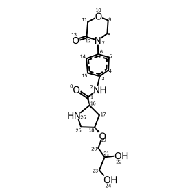 O=C(Nc1ccc(N2CCOCC2=O)cc1)[C@H]1C[C@@H](OCC(O)CO)CN1